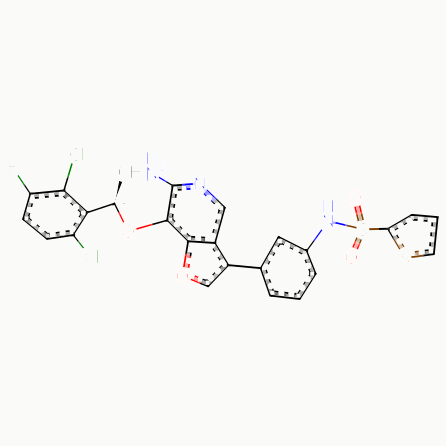 C[C@@H](Oc1c(N)ncc2c(-c3cccc(NS(=O)(=O)c4cccs4)c3)coc12)c1c(Cl)ccc(F)c1Cl